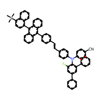 C[Si](C)(C)c1ccc(-c2c3ccccc3c(-c3ccc(/C=C/c4ccc(N(c5ccc(C#N)cc5)c5c(F)cc(-c6ccccc6)cc5-c5ccccc5)cc4)cc3)c3ccccc23)c2ccccc12